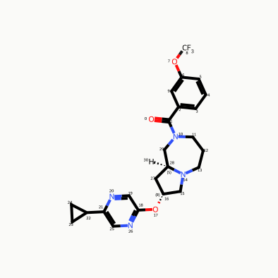 O=C(c1cccc(OC(F)(F)F)c1)N1CCCN2C[C@H](Oc3cnc(C4CC4)cn3)C[C@H]2C1